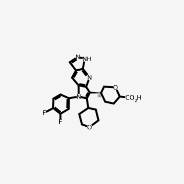 O=C(O)C1CC[C@@H](c2c(C3CCOCC3)n(-c3ccc(F)c(F)c3)c3cc4cn[nH]c4nc23)CO1